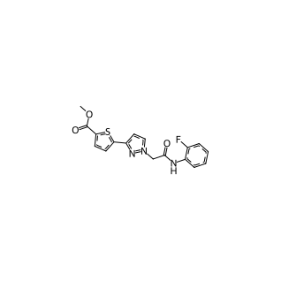 COC(=O)c1ccc(-c2ccn(CC(=O)Nc3ccccc3F)n2)s1